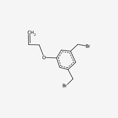 C=CCOc1cc(CBr)cc(CBr)c1